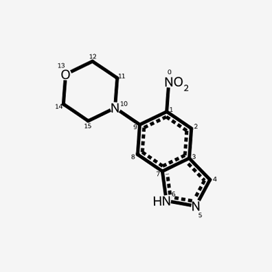 O=[N+]([O-])c1cc2cn[nH]c2cc1N1CCOCC1